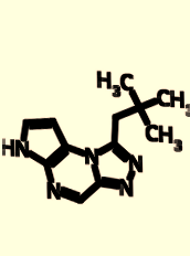 CC(C)(C)Cc1nnc2cnc3[nH]ccc3n12